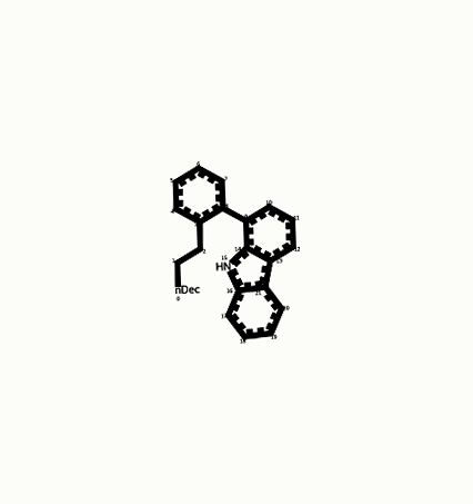 CCCCCCCCCCCCc1ccccc1-c1cccc2c1[nH]c1ccccc12